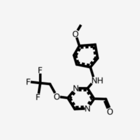 COc1ccc(Nc2nc(OCC(F)(F)F)cnc2C=O)cc1